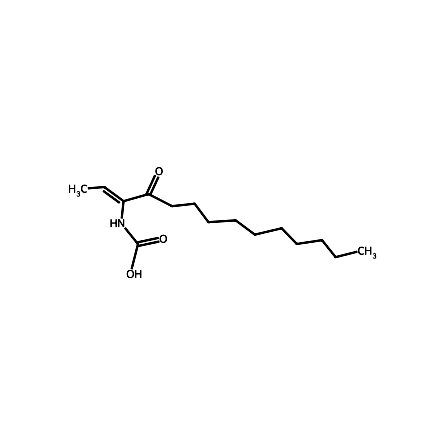 CC=C(NC(=O)O)C(=O)CCCCCCCCCC